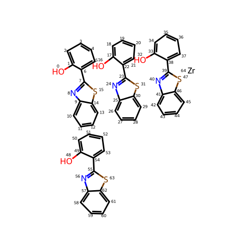 Oc1ccccc1-c1nc2ccccc2s1.Oc1ccccc1-c1nc2ccccc2s1.Oc1ccccc1-c1nc2ccccc2s1.Oc1ccccc1-c1nc2ccccc2s1.[Zr]